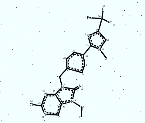 CCn1c(=N)n(Cc2ccc(-c3nc(C(F)(F)F)cn3C)cc2)c2nc(Cl)ncc21